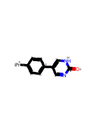 CC(C)c1ccc(-c2cnc(=O)[nH]c2)cc1